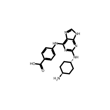 N[C@H]1CC[C@H](Nc2nc(Nc3ccc(C(=O)O)cc3)c3nc[nH]c3n2)CC1